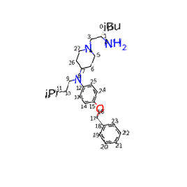 CCC(C)[C@H](N)CN1CCC(N(CCC(C)C)c2ccc(OCc3ccccc3)cc2)CC1